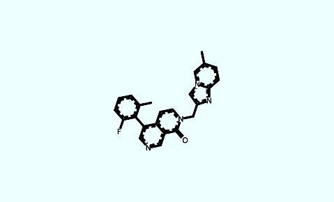 Cc1ccc2nc(Cn3ccc4c(-c5c(C)cccc5F)cncc4c3=O)cn2c1